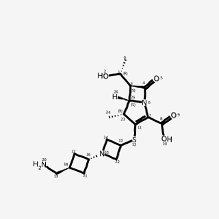 C[C@@H](O)[C@H]1C(=O)N2C(C(=O)O)=C(SC3CN([C@H]4C[C@H](CN)C4)C3)[C@H](C)[C@H]12